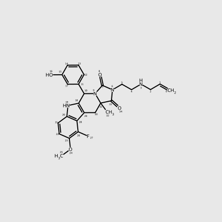 C=CCNCCN1C(=O)N2C(c3cccc(O)c3)c3[nH]c4ccc(OC)c(F)c4c3CC2(C)C1=O